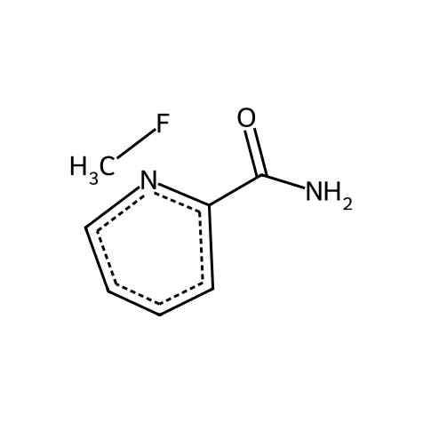 CF.NC(=O)c1ccccn1